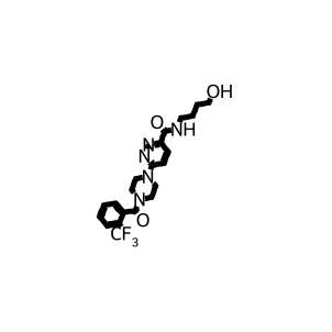 O=C(NCCCCO)c1ccc(N2CCN(C(=O)c3ccccc3C(F)(F)F)CC2)nn1